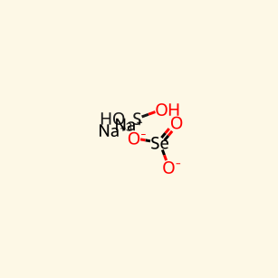 O=S(=O)(O)O.O=[Se]([O-])[O-].[Na+].[Na+]